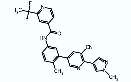 Cc1ccc(NC(=O)c2ccnc(C(C)(F)F)c2)cc1-c1cnc(-c2cnn(C)c2)c(C#N)c1